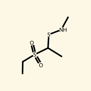 CCS(=O)(=O)C(C)SNC